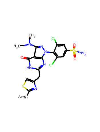 CC(=O)Nc1nc(Cc2nc3c(c(N(C)C)nn3-c3c(Cl)cc(S(N)(=O)=O)cc3Cl)c(=O)[nH]2)cs1